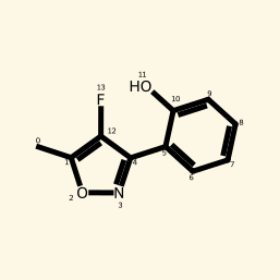 Cc1onc(-c2ccccc2O)c1F